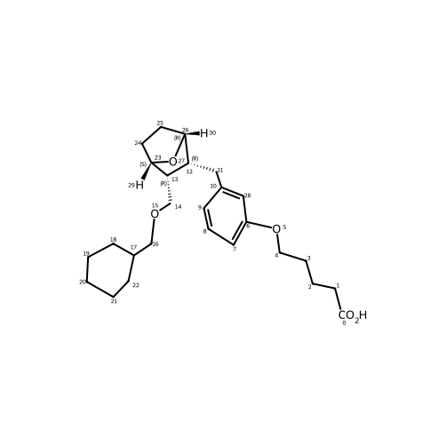 O=C(O)CCCCOc1cccc(C[C@@H]2[C@H](COCC3CCCCC3)[C@@H]3CC[C@H]2O3)c1